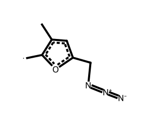 [CH2]c1oc(CN=[N+]=[N-])cc1C